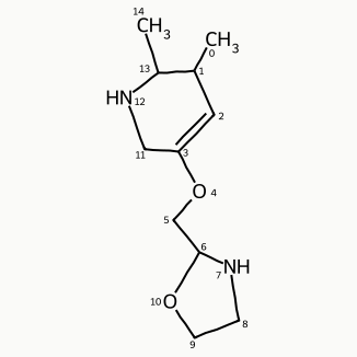 CC1C=C(OCC2NCCO2)CNC1C